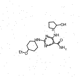 CCO[C@H]1CC[C@H](Nc2ncc(C(N)=O)c(N[C@@H]3CCCC3O)n2)CC1